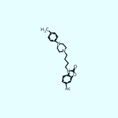 CC(=O)c1ccc2c(c1)oc(=O)n2CCCCN1CCN(c2ccc(C)cc2)CC1